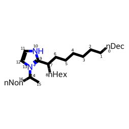 CCCCCCCCCCCCCCCCC(CCCCCC)c1[nH]cc[n+]1C(C)CCCCCCCCC